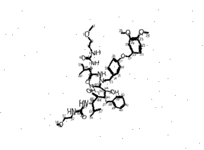 COCCNC(=O)N[C@H](C(=O)NN(Cc1ccc(OCc2ccc(OC)c(OC)c2)cc1)C(N)[C@@H](O)[C@H](Cc1ccccc1)C(=O)[C@@H](NC(=O)NCCOC)C(C)C)C(C)C